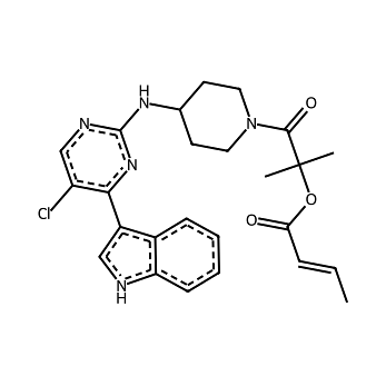 C/C=C/C(=O)OC(C)(C)C(=O)N1CCC(Nc2ncc(Cl)c(-c3c[nH]c4ccccc34)n2)CC1